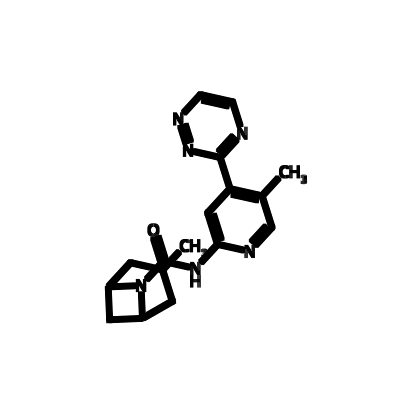 Cc1cnc(NC(=O)N2C3CC(C)CC2C3)cc1-c1nccnn1